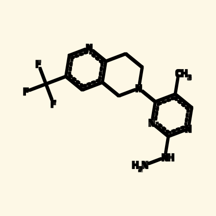 Cc1cnc(NN)nc1N1CCc2ncc(C(F)(F)F)cc2C1